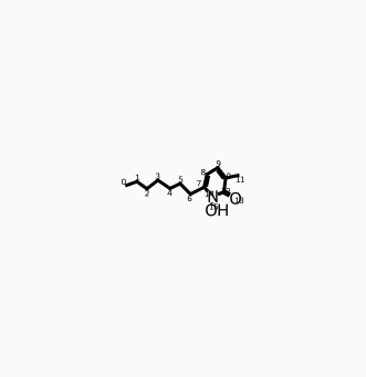 CCCCCCCc1ccc(C)c(=O)n1O